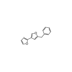 [c]1ccoc1-c1coc(Cc2ccccc2)c1